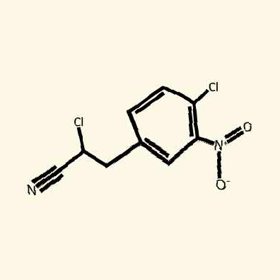 N#CC(Cl)Cc1ccc(Cl)c([N+](=O)[O-])c1